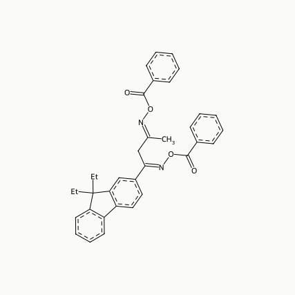 CCC1(CC)c2ccccc2-c2ccc(/C(C/C(C)=N/OC(=O)c3ccccc3)=N/OC(=O)c3ccccc3)cc21